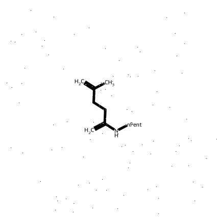 C=C(C)CCC(=C)NCCCCC